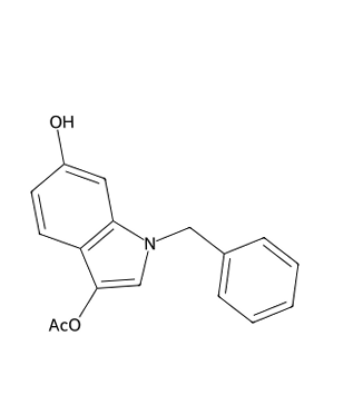 CC(=O)Oc1cn(Cc2ccccc2)c2cc(O)ccc12